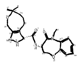 CN1C(=O)[C@@H](NC(=O)[C@@H]2NNC3=C2CCC(C)(C)OC3)COc2ccccc21